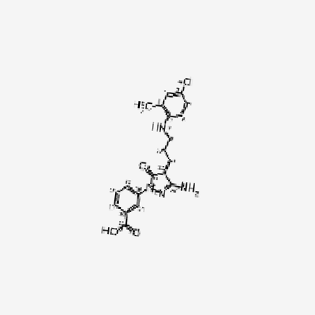 Cc1cc(Cl)ccc1NCC/C=C1\C(=O)N(c2cccc(C(=O)O)c2)N=C1N